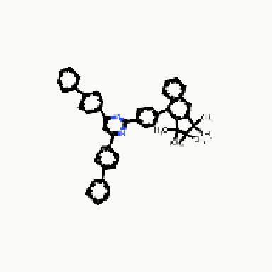 CC1(C)c2cc3ccccc3c(-c3ccc(-c4nc(-c5ccc(-c6ccccc6)cc5)cc(-c5ccc(-c6ccccc6)cc5)n4)cc3)c2C(C)(C)C1(C)C